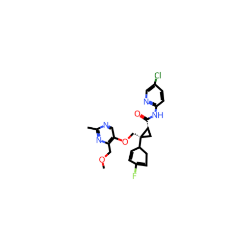 COCc1nc(C)ncc1OC[C@@]1(C2C=CC(F)=CC2)C[C@H]1C(=O)Nc1ccc(Cl)cn1